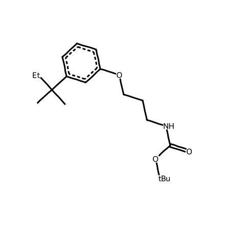 CCC(C)(C)c1cccc(OCCCNC(=O)OC(C)(C)C)c1